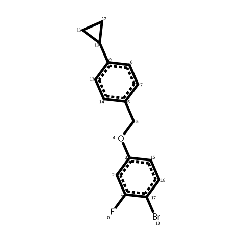 Fc1cc(OCc2ccc(C3CC3)cc2)ccc1Br